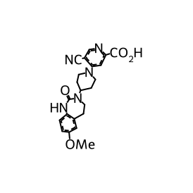 COc1ccc2c(c1)CCN(C1CCN(c3cc(C(=O)O)ncc3C#N)CC1)C(=O)N2